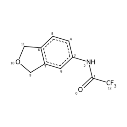 O=C(Nc1ccc2c(c1)COC2)C(F)(F)F